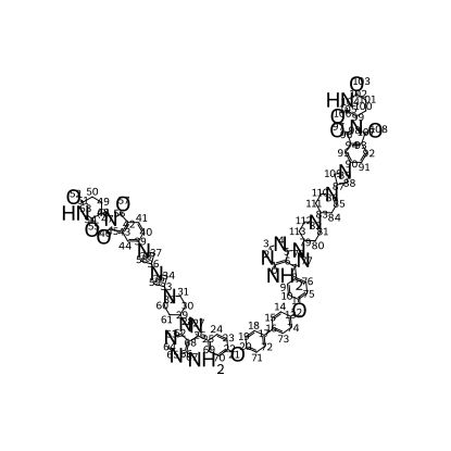 Nc1ncnc2c1c(-c1ccc(Oc3ccc(-c4ccc(Oc5ccc(-c6nn(C7CCN(C8CN(C9CN(c%10ccc%11c(c%10)C(=O)N([C@@H]%10CCC(=O)NC%10=O)C%11=O)C9)C8)CC7)c7ncnc(N)c67)cc5)cc4)cc3)cc1)nn2C1CCN(C2CCN(C3CN(c4ccc5c(c4)C(=O)N(C4CCC(=O)NC4=O)C5=O)C3)CC2)CC1